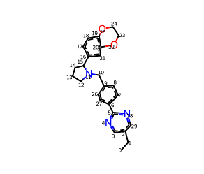 CCc1cnc(-c2ccc(CN3CCCC3c3ccc4c(c3)OCCO4)cc2)nc1